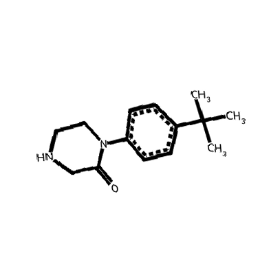 CC(C)(C)c1ccc(N2CCNCC2=O)cc1